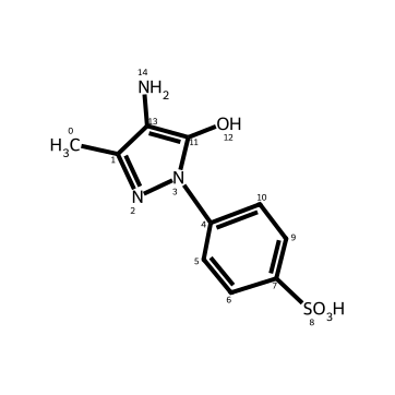 Cc1nn(-c2ccc(S(=O)(=O)O)cc2)c(O)c1N